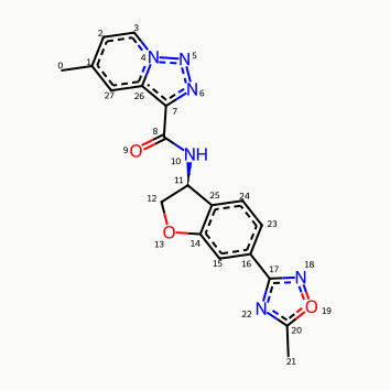 Cc1ccn2nnc(C(=O)N[C@@H]3COc4cc(-c5noc(C)n5)ccc43)c2c1